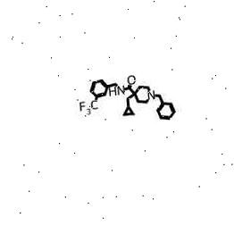 O=C(NCc1cccc(C(F)(F)F)c1)C1(CC2CC2)CCN(Cc2ccccc2)CC1